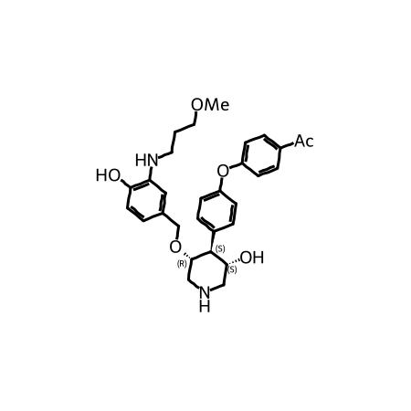 COCCCNc1cc(CO[C@H]2CNC[C@@H](O)[C@@H]2c2ccc(Oc3ccc(C(C)=O)cc3)cc2)ccc1O